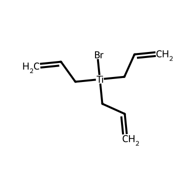 C=C[CH2][Ti]([Br])([CH2]C=C)[CH2]C=C